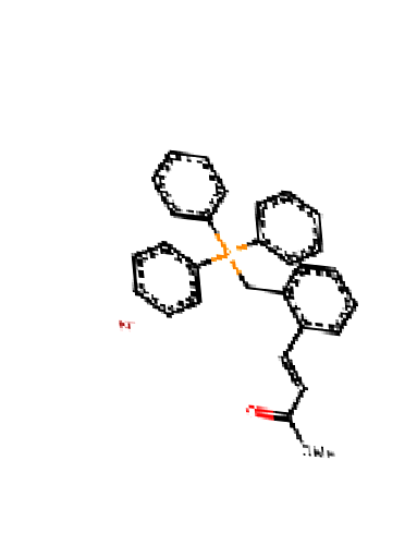 COC(=O)C=Cc1ccccc1C[P+](c1ccccc1)(c1ccccc1)c1ccccc1.[Br-]